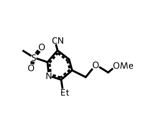 CCc1nc(S(C)(=O)=O)c(C#N)cc1COCOC